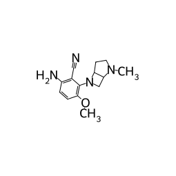 COc1ccc(N)c(C#N)c1N1CC2C1CCN2C